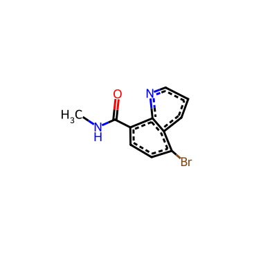 CNC(=O)c1ccc(Br)c2cccnc12